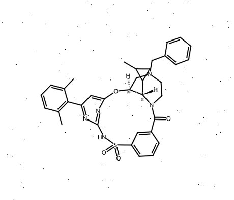 Cc1cccc(C)c1-c1cc2nc(n1)NS(=O)(=O)c1cccc(c1)C(=O)N1CCN(Cc3ccccc3)C[C@H](O2)[C@@H]1C1CC1C